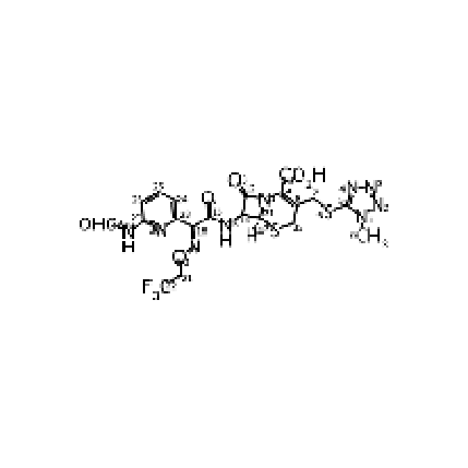 Cn1nnnc1SCC1=C(C(=O)O)N2C(=O)C(NC(=O)C(=NOCC(F)(F)F)c3cccc(NC=O)n3)[C@@H]2SC1